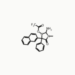 CN1C(=O)C(c2ccccc2)(c2ccc3ccccc3c2)N(OC(=O)C(F)(F)F)C1N